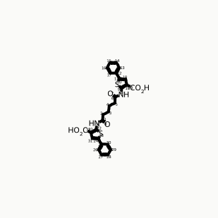 O=C(CCCCC(=O)Nc1sc(-c2ccccc2)cc1C(=O)O)Nc1sc(-c2ccccc2)cc1C(=O)O